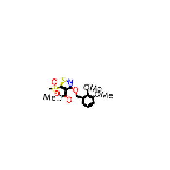 COC(=O)c1c(OCc2cccc(OC)c2OC)nsc1S(C)(=O)=O